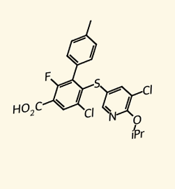 Cc1ccc(-c2c(F)c(C(=O)O)cc(Cl)c2Sc2cnc(OC(C)C)c(Cl)c2)cc1